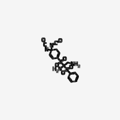 NCC(N)(S(=O)(=O)C1=CCC(N=C=O)(N=C=O)C=C1)S(=O)(=O)c1ccccc1